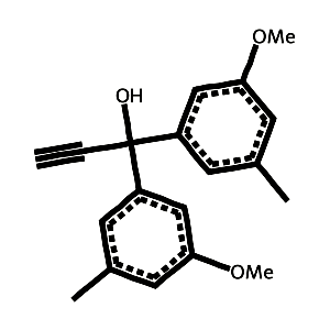 C#CC(O)(c1cc(C)cc(OC)c1)c1cc(C)cc(OC)c1